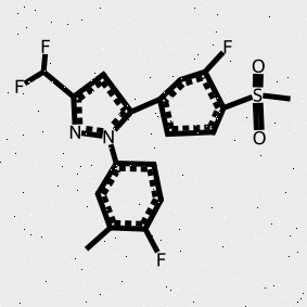 Cc1cc(-n2nc(C(F)F)cc2-c2ccc(S(C)(=O)=O)c(F)c2)ccc1F